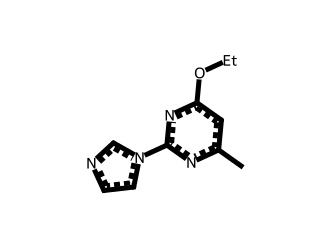 CCOc1cc(C)nc(-n2ccnc2)n1